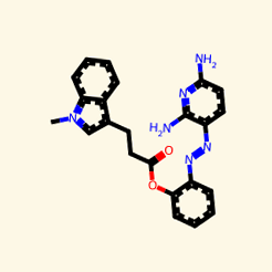 Cn1cc(CCC(=O)Oc2ccccc2/N=N/c2ccc(N)nc2N)c2ccccc21